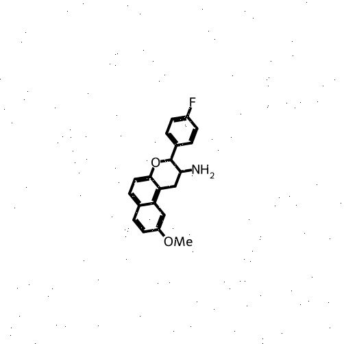 COc1ccc2ccc3c(c2c1)CC(N)C(c1ccc(F)cc1)O3